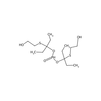 CCC(CC)(O[PH](=O)OC(CC)(CC)SCCO)SCCO